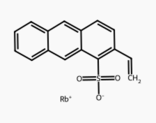 C=Cc1ccc2cc3ccccc3cc2c1S(=O)(=O)[O-].[Rb+]